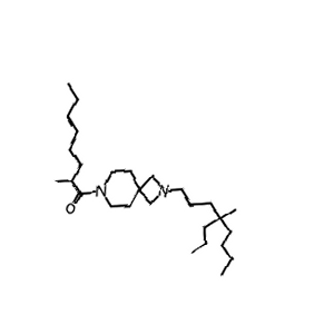 CCCCCCC(C)C(=O)N1CCC2(CC1)CN(CCCC(C)(CCC)CCCC)C2